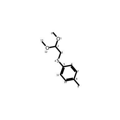 COC(CSc1ccc(C)cc1)OC